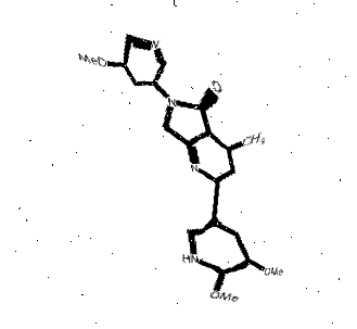 COC1C=NCC(N2CC3=NC(C4CNC(OC)C(OC)C4)CC(C)C3C2=O)C1